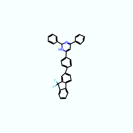 FC1(F)c2ccccc2-c2ccc(-c3ccc(C4=CC(c5ccccc5)=NC(c5ccccc5)N4)cc3)cc21